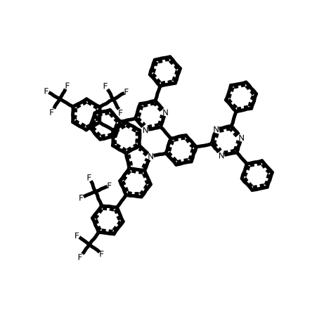 FC(F)(F)c1ccc(-c2ccc3c(c2)c2cc(-c4ccc(C(F)(F)F)cc4C(F)(F)F)ccc2n3-c2ccc(-c3nc(-c4ccccc4)nc(-c4ccccc4)n3)cc2-c2nc(-c3ccccc3)cc(-c3ccccc3)n2)c(C(F)(F)F)c1